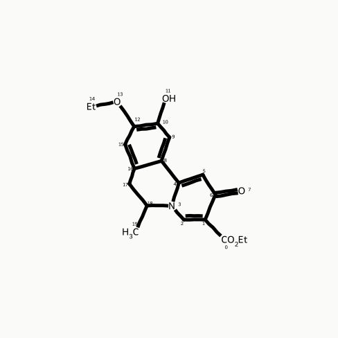 CCOC(=O)c1cn2c(cc1=O)-c1cc(O)c(OCC)cc1CC2C